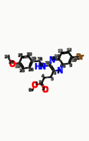 COC(=O)CCc1nc2cc(Br)ccc2nc1NCc1ccc(OC)cc1